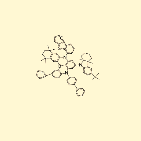 CC(C)(C)c1ccc2c(c1)C1(C)CCCCC1(C)N2c1cc2c3c(c1)N(c1cccc4c1sc1ccccc14)c1cc4c(cc1B3c1cc(-c3ccccc3)ccc1N2c1ccc(-c2ccccc2)cc1)C(C)(C)CCC4(C)C